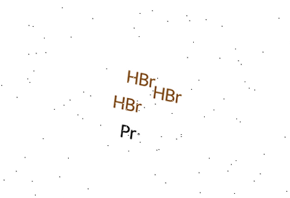 Br.Br.Br.[Pr]